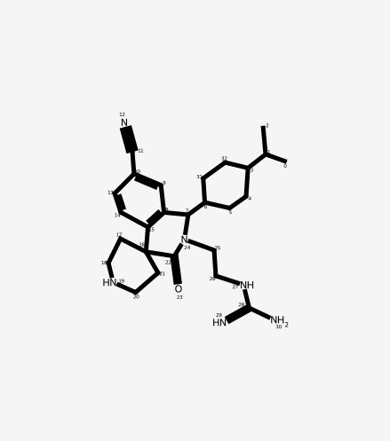 CC(C)C1CCC(C2c3cc(C#N)ccc3C3(CCNCC3)C(=O)N2CCNC(=N)N)CC1